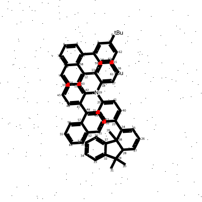 CC(C)(C)c1cc(-c2cccc3cccc(-c4ccccc4N(c4ccc(C5=CC=CC6C(C)(C)c7ccccc7C56C)cc4)c4ccccc4-c4cccc5ccccc45)c23)cc(C(C)(C)C)c1